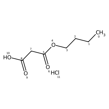 CCCCOC(=O)CC(=O)O.Cl